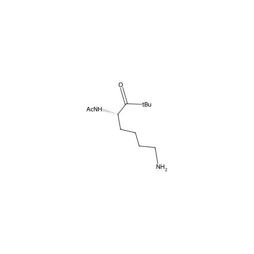 CC(=O)N[C@@H](CCCCN)C(=O)C(C)(C)C